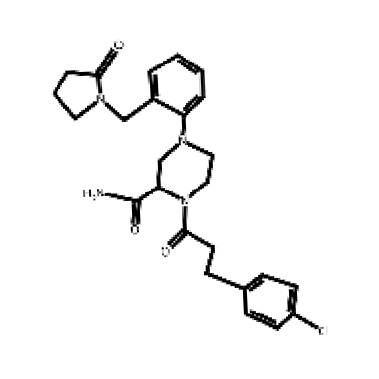 NC(=O)C1CN(c2ccccc2CN2CCCC2=O)CCN1C(=O)[CH]Cc1ccc(Cl)cc1